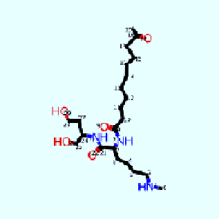 CNCCCCC(NC(=O)CCCCCCCCC(C)=O)C(=O)NC(CO)CCO